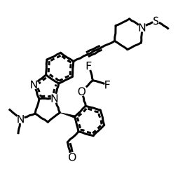 CSN1CCC(C#Cc2ccc3nc4n(c3c2)[C@@H](c2c(C=O)cccc2OC(F)F)CC4N(C)C)CC1